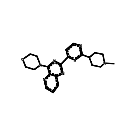 CN1CCC(c2nccc(-c3nc(N4CCOCC4)c4ncccc4n3)n2)CC1